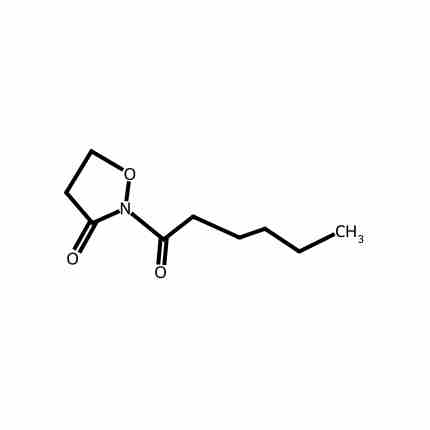 CCCCCC(=O)N1OCCC1=O